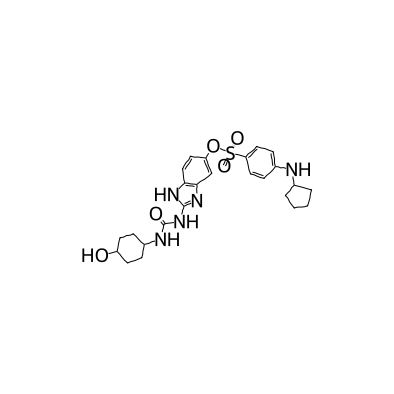 O=C(Nc1nc2cc(OS(=O)(=O)c3ccc(NC4CCCC4)cc3)ccc2[nH]1)NC1CCC(O)CC1